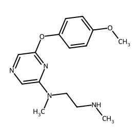 CNCCN(C)c1cncc(Oc2ccc(OC)cc2)n1